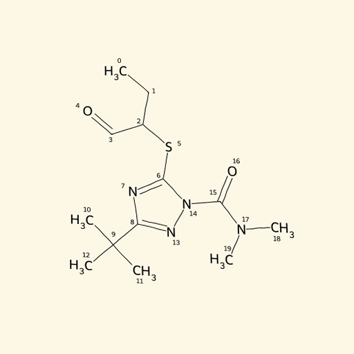 CCC(C=O)Sc1nc(C(C)(C)C)nn1C(=O)N(C)C